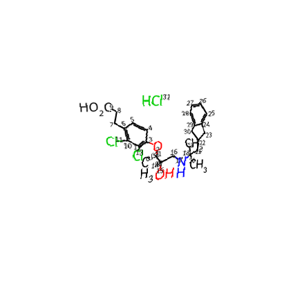 C[C@H](Oc1ccc(CCC(=O)O)c(Cl)c1Cl)[C@H](O)CNC(C)(C)CC1Cc2ccccc2C1.Cl